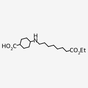 CCOC(=O)CCCCCCCNC1CCC(C(=O)O)CC1